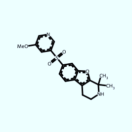 COc1cncc(S(=O)(=O)c2ccc3c4c(oc3c2)C(C)(C)NCC4)c1